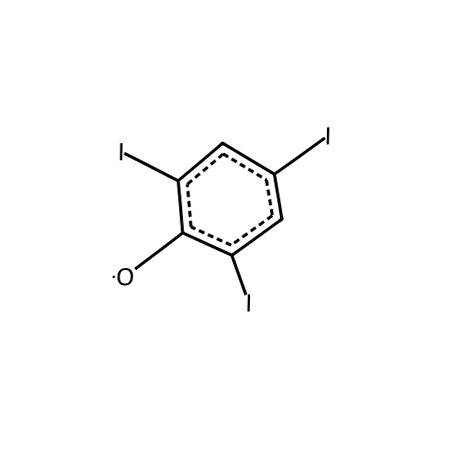 [O]c1c(I)cc(I)cc1I